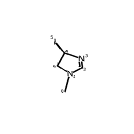 CN1C=NC(I)C1